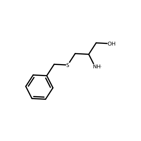 [NH]C(CO)CSCc1ccccc1